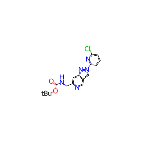 CC(C)(C)OC(=O)NCc1cc2nn(-c3cccc(Cl)n3)cc2cn1